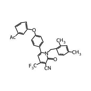 CC(=O)c1cccc(Oc2ccc(-c3cc(C(F)(F)F)c(C#N)c(=O)n3Cc3ccc(C)cc3C)cc2)c1